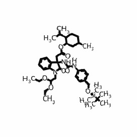 CCOC(CN1C(=O)C(CC(=O)OC2CC(C)CCC2C(C)C)(NC(=O)Nc2ccc(CO[Si](C)(C)C(C)(C)C)cc2)c2ccccc21)OCC